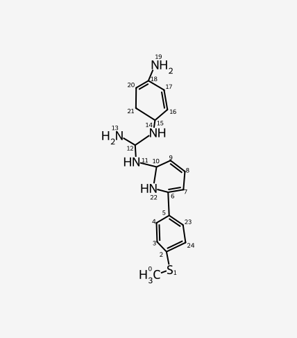 CSc1ccc(C2=CC=CC(NC(N)NC3C=CC(N)=CC3)N2)cc1